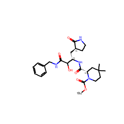 CC1(C)CCN(C(=O)OC(C)(C)C)[C@H](C(=O)N[C@@H](C[C@@H]2CCNC2=O)C(O)C(=O)NCc2ccccc2)C1